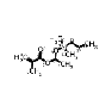 C=C(C)C(=O)OC(C)O[Si](C)(C)CCC